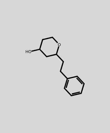 OC1CCOC(CCc2ccccc2)C1